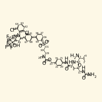 CC(C)[C@H](N)C(=O)N[C@@H](CCCNC(N)=O)C(=O)Nc1ccc(COC(=O)N(C)CCCS(=O)(=O)c2cccc(-c3ccc(C4CC(C(O)(C(F)(F)F)C(F)(F)F)=NN4c4c(Cl)cccc4Cl)cc3)c2)cc1